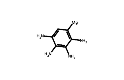 Nc1c[c]([Mg])c(N)c(N)c1N